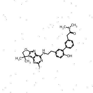 CN(C)C(=O)Cc1cccc(-c2cc(CCNc3nc(I)nc4c3nc3n4C(C)(C)CO3)ccc2O)c1